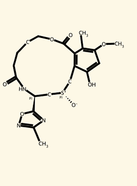 COc1cc(O)c2c(c1C)C(=O)OCCCCC(=O)N[C@H](c1nc(C)no1)C[S@@+]([O-])C2